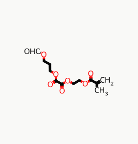 C=C(C)C(=O)OCCOC(=O)C(=O)OCCCOC=O